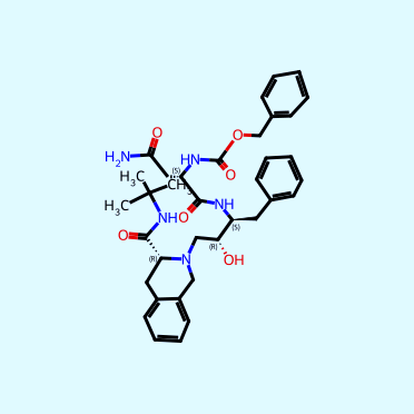 CC(C)(C)NC(=O)[C@H]1Cc2ccccc2CN1C[C@@H](O)[C@H](Cc1ccccc1)NC(=O)[C@H](CC(N)=O)NC(=O)OCc1ccccc1